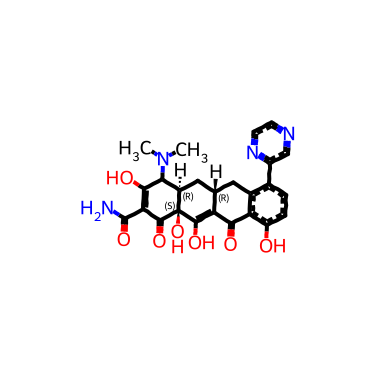 CN(C)C1C(O)=C(C(N)=O)C(=O)[C@@]2(O)C(O)=C3C(=O)c4c(O)ccc(-c5cnccn5)c4C[C@H]3C[C@H]12